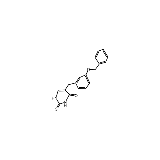 O=c1[nH]c(=S)[nH]cc1Cc1cccc(OCc2ccccc2)c1